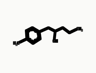 CCCC(O)Cc1ccc(C)cc1